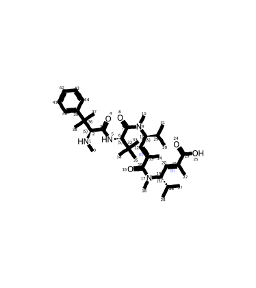 CN[C@H](C(=O)N[C@H](C(=O)N(C)[C@H](/C=C(\C)C(=O)N(C)[C@H](/C=C(\C)C(=O)O)C(C)C)C(C)C)C(C)(C)C)C(C)(C)c1ccccc1